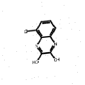 Oc1nc2cccc(Cl)c2nc1O